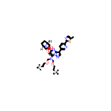 Cc1cnc(-c2ccc(-c3cnn4c(N(COCC[Si](C)(C)C)COCC[Si](C)(C)C)cc([C@H]5C[C@H]6CC[C@@H](C5)N6C(=O)OC(C)(C)C)nc34)cn2)s1